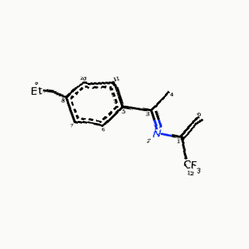 C=C(/N=C(\C)c1ccc(CC)cc1)C(F)(F)F